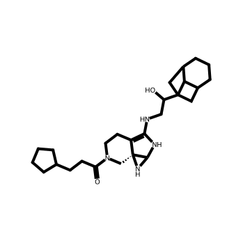 O=C(CCC1CCCC1)N1CCC2=C(NCC(O)C34CC5CCCC(C3)C54)NC3N[C@@]23C1